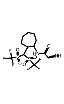 N=CC(=O)NC1CCCCCC1C(S(=O)(=O)C(F)(F)F)S(=O)(=O)C(F)(F)F